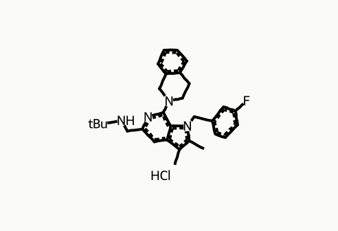 Cc1c(C)n(Cc2cccc(F)c2)c2c(N3CCc4ccccc4C3)nc(CNC(C)(C)C)cc12.Cl